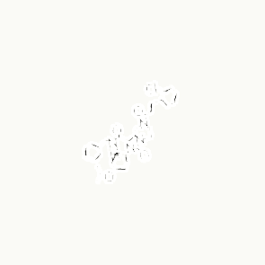 CC(C)Oc1ccc(-n2c(C(=O)NCc3ccccc3)c3n(c2=O)CCN(C(=O)/C=C/c2ccccc2Cl)C3)cc1